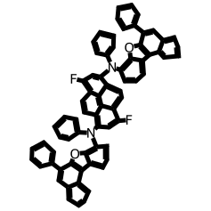 Fc1cc(N(c2ccccc2)c2cccc3c2oc2c(-c4ccccc4)cc4ccccc4c23)c2ccc3c(F)cc(N(c4ccccc4)c4cccc5c4oc4c(-c6ccccc6)cc6ccccc6c45)c4ccc1c2c34